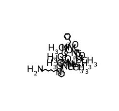 CCOC(=O)[C@@H](C)C[C@H](Cc1ccccc1)NC(=O)c1csc([C@@H](C[C@H](C(C)C)N(C)C(=O)[C@@H](NC(=O)[C@H]2CCCCN2CCCCCCN)[C@@H](C)CC)OC(C)=O)n1